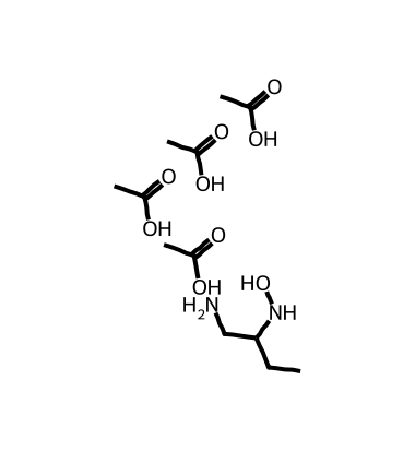 CC(=O)O.CC(=O)O.CC(=O)O.CC(=O)O.CCC(CN)NO